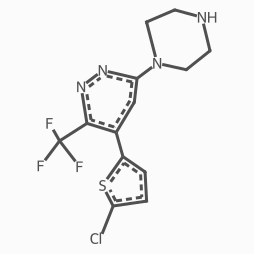 FC(F)(F)c1nnc(N2CCNCC2)cc1-c1ccc(Cl)s1